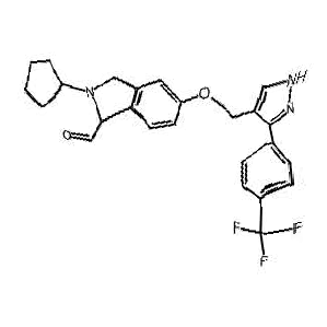 O=CC1c2ccc(OCc3c[nH]nc3-c3ccc(C(F)(F)F)cc3)cc2CN1C1CCCC1